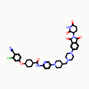 N#Cc1ccc(OC2CCC(C(=O)Nc3ccc(N4CCC(CN5CCN(c6ccc7c(c6)C(=O)N(C6CCC(=O)NC6=O)C7=O)CC5)CC4)cn3)CC2)cc1Cl